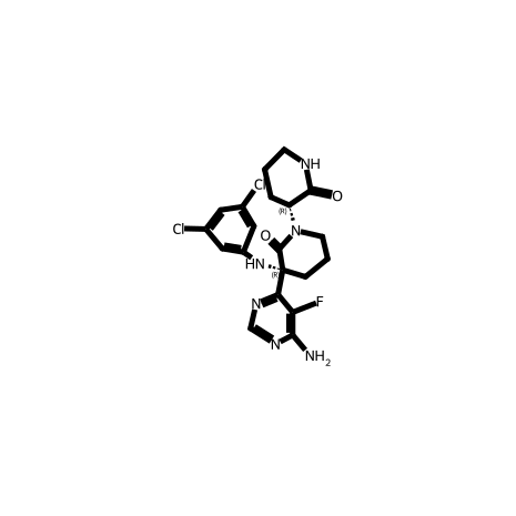 Nc1ncnc([C@]2(Nc3cc(Cl)cc(Cl)c3)CCCN([C@@H]3CCCNC3=O)C2=O)c1F